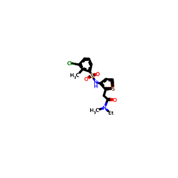 CCN(C)C(=O)Cc1sccc1NS(=O)(=O)c1cccc(Cl)c1C